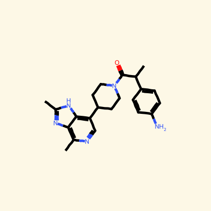 Cc1nc2c(C)ncc(C3CCN(C(=O)C(C)c4ccc(N)cc4)CC3)c2[nH]1